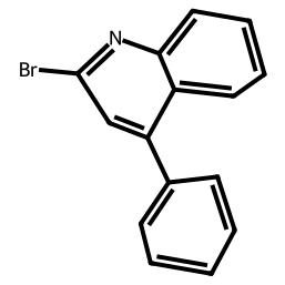 Brc1cc(-c2ccccc2)c2ccccc2n1